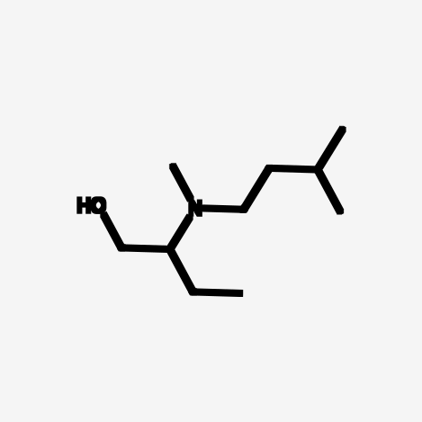 CCC(CO)N(C)CCC(C)C